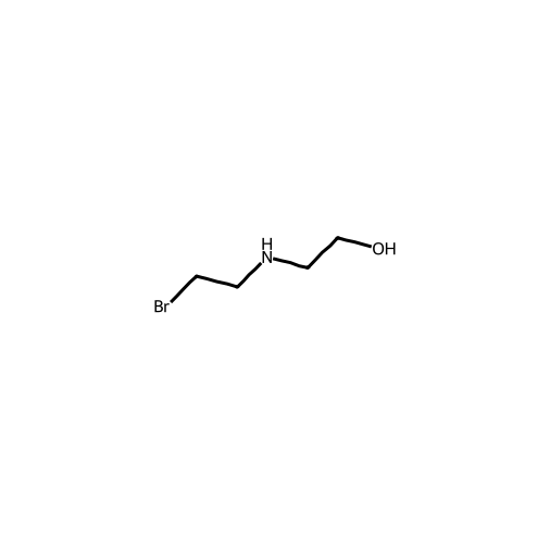 OCCNCCBr